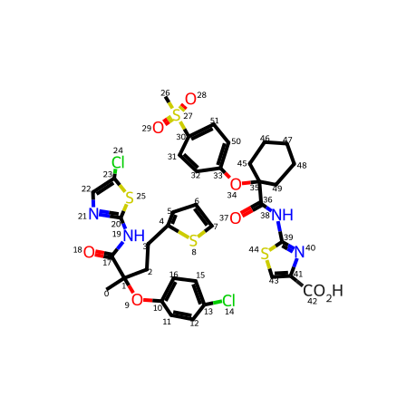 CC(CCc1cccs1)(Oc1ccc(Cl)cc1)C(=O)Nc1ncc(Cl)s1.CS(=O)(=O)c1ccc(OC2(C(=O)Nc3nc(C(=O)O)cs3)CCCCC2)cc1